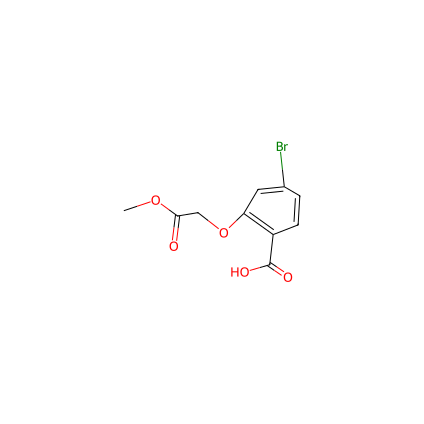 COC(=O)COc1cc(Br)ccc1C(=O)O